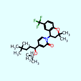 C[SiH](C)OC(CCC(C)(C)C)c1ccn(C2CC(C)(C)Oc3ccc(C(F)(F)F)cc32)c(=O)c1